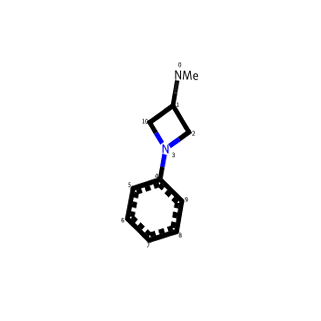 CNC1CN(c2ccccc2)C1